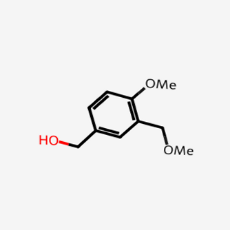 COCc1cc(CO)ccc1OC